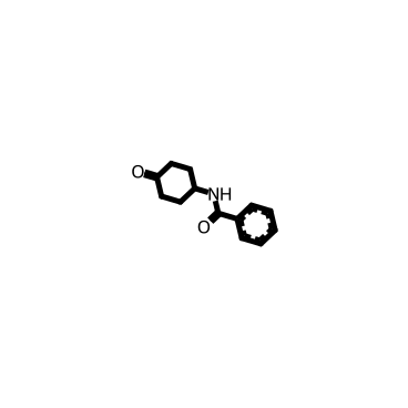 O=C1CCC(NC(=O)c2ccccc2)CC1